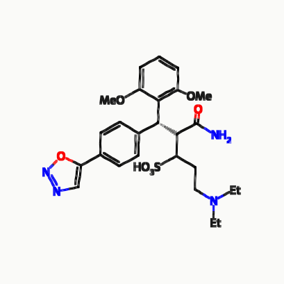 CCN(CC)CCC(C(C(N)=O)[C@H](c1ccc(-c2cnno2)cc1)c1c(OC)cccc1OC)S(=O)(=O)O